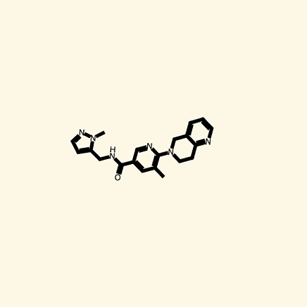 Cc1cc(C(=O)NCc2ccnn2C)cnc1N1CCc2ncccc2C1